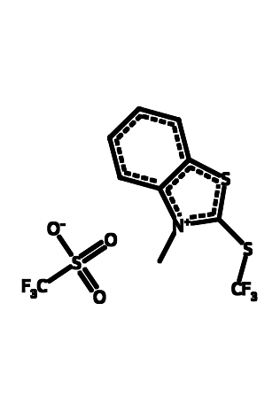 C[n+]1c(SC(F)(F)F)sc2ccccc21.O=S(=O)([O-])C(F)(F)F